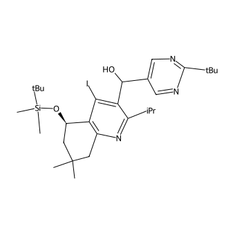 CC(C)c1nc2c(c(I)c1C(O)c1cnc(C(C)(C)C)nc1)[C@H](O[Si](C)(C)C(C)(C)C)CC(C)(C)C2